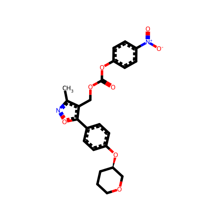 Cc1noc(-c2ccc(O[C@@H]3CCCOC3)cc2)c1COC(=O)Oc1ccc([N+](=O)[O-])cc1